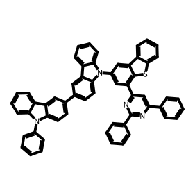 c1ccc(-c2cc(-c3cc(-n4c5ccccc5c5cc(-c6ccc7c(c6)c6ccccc6n7-c6ccccc6)ccc54)cc4c3sc3ccccc34)nc(-c3ccccc3)n2)cc1